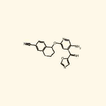 N#Cc1ccc2c(c1)CCCC2Oc1cc(C(=N)c2cnco2)c(N)cn1